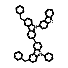 c1ccc(Cc2ccc3c(c2)c2cc(-c4ccc5c6cc(Cc7ccccc7)ccc6n(-c6ccc7oc8ccccc8c7c6)c5c4)ccc2n3-c2ccccc2)cc1